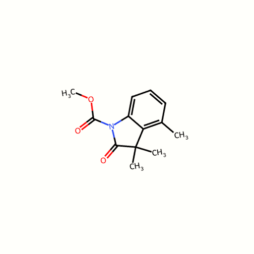 COC(=O)N1C(=O)C(C)(C)c2c(C)cccc21